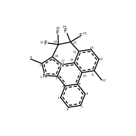 Cc1nc2c3ccccc3c3c(C)ccc4c3n2c1C(F)(F)C4(F)F